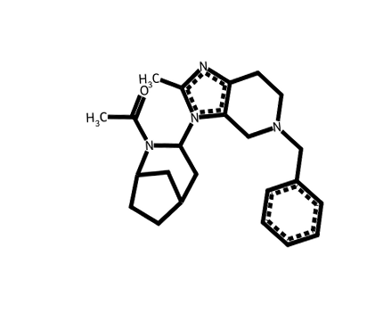 CC(=O)N1C2CCC(C2)CC1n1c(C)nc2c1CN(Cc1ccccc1)CC2